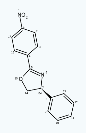 O=[N+]([O-])c1ccc(C2=N[C@@H](c3ccccc3)CO2)cc1